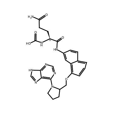 NC(=O)CC[C@H](NC(=O)O)C(=O)Nc1ccc2cccc(OCC3CCCN3c3ncnc4[nH]cnc34)c2c1